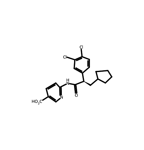 O=C(O)c1ccc(NC(=O)[C@H](CC2CCCC2)c2ccc(Cl)c(Cl)c2)nc1